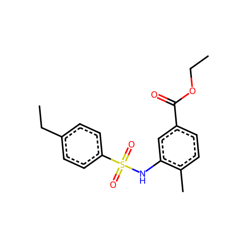 CCOC(=O)c1ccc(C)c(NS(=O)(=O)c2ccc(CC)cc2)c1